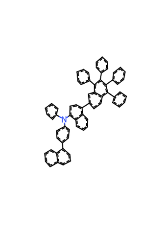 c1ccc(-c2c(-c3ccccc3)c(-c3ccccc3)c3cc(-c4ccc(N(c5ccccc5)c5ccc(-c6cccc7ccccc67)cc5)c5ccccc45)ccc3c2-c2ccccc2)cc1